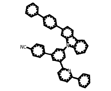 N#Cc1ccc(-c2cc(-c3cccc(-c4ccccc4)n3)cc(-n3c4ccccc4c4ccc(-c5ccc(-c6ccccc6)cc5)cc43)c2)cc1